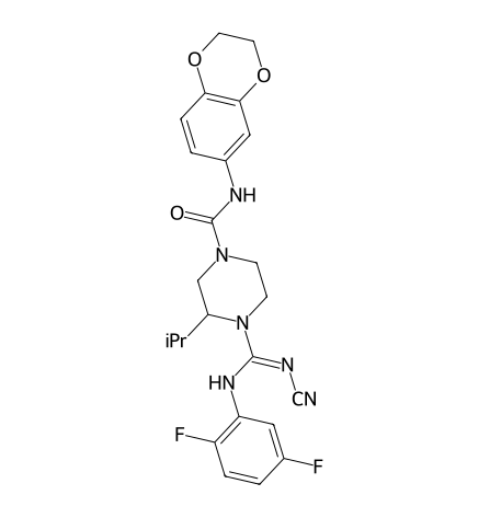 CC(C)C1CN(C(=O)Nc2ccc3c(c2)OCCO3)CCN1/C(=N/C#N)Nc1cc(F)ccc1F